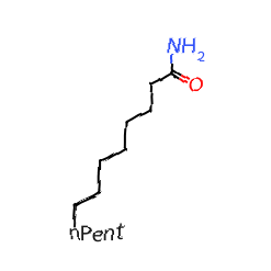 [CH2]CCCCCCCCCCCC(N)=O